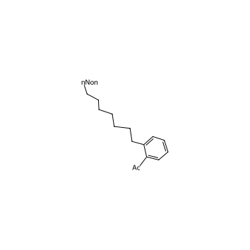 CCCCCCCCCCCCCCCCc1ccccc1C(C)=O